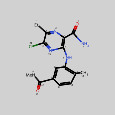 CCc1nc(C(N)=O)c(Nc2cc(C(=O)NC)ccc2C)nc1Cl